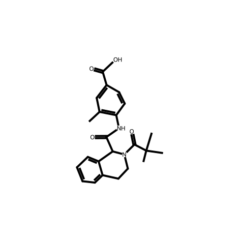 Cc1cc(C(=O)O)ccc1NC(=O)C1c2ccccc2CCN1C(=O)C(C)(C)C